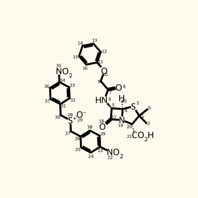 CC1(C)S[C@@H]2[C@H](NC(=O)COc3ccccc3)C(=O)N2[C@H]1C(=O)O.O=[N+]([O-])c1ccc(C[S+]([O-])Cc2ccc([N+](=O)[O-])cc2)cc1